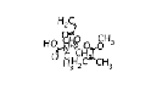 C=C(C)C(=O)OC.C=CC(=O)OC(C)[N+](C)(C)C(=O)O